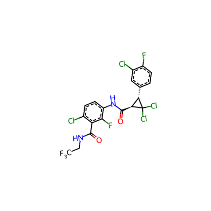 O=C(NCC(F)(F)F)c1c(Cl)ccc(NC(=O)[C@H]2[C@H](c3ccc(F)c(Cl)c3)C2(Cl)Cl)c1F